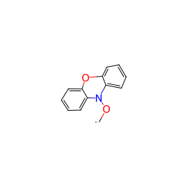 [CH2]ON1c2ccccc2Oc2ccccc21